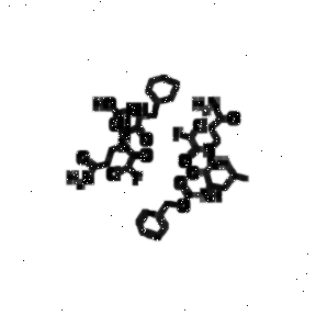 CC(C)CC(NC(=O)OCc1ccccc1)C(=O)NN(CCC(N)=O)C(=O)C(F)Cl.NC(=O)CCN(NC(=O)C(CC1CCCCC1)NC(=O)O)C(=O)C(F)Cl